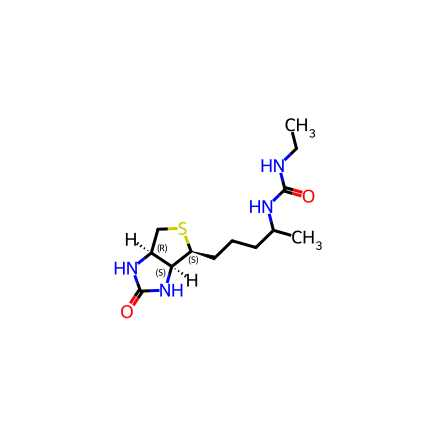 CCNC(=O)NC(C)CCC[C@@H]1SC[C@@H]2NC(=O)N[C@@H]21